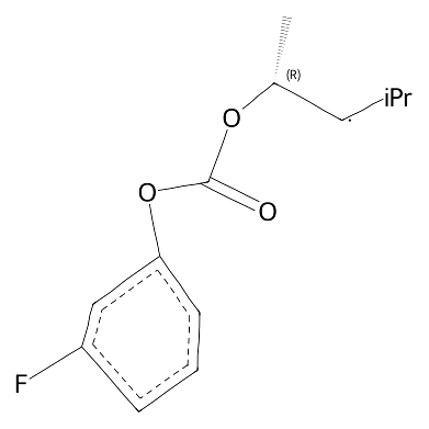 [CH2]C(C)[CH][C@@H](C)OC(=O)Oc1cccc(F)c1